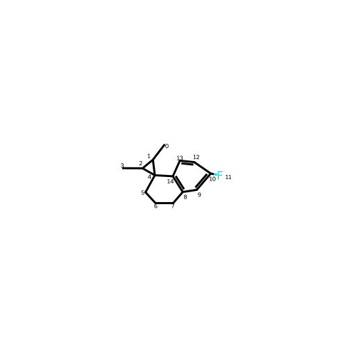 CC1C(C)C12CCCc1cc(F)ccc12